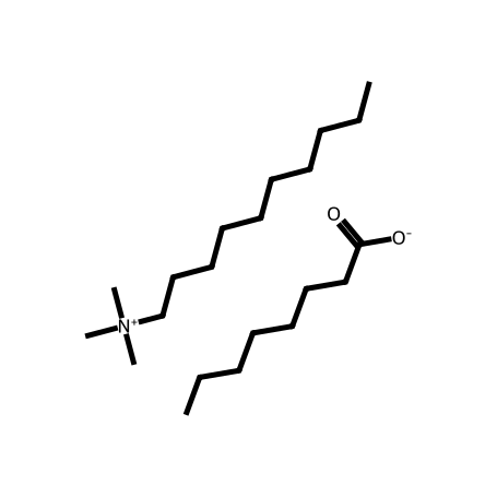 CCCCCCCC(=O)[O-].CCCCCCCCCC[N+](C)(C)C